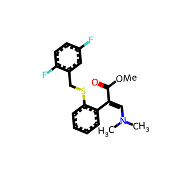 COC(=O)/C(=C/N(C)C)c1ccccc1SCc1cc(F)ccc1F